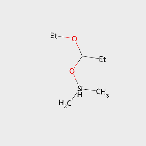 CCOC(CC)O[SiH](C)C